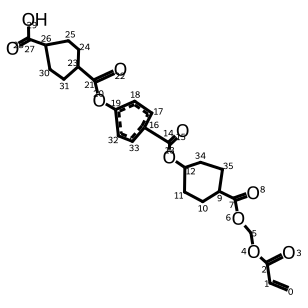 C=CC(=O)OCOC(=O)C1CCC(OC(=O)c2ccc(OC(=O)C3CCC(C(=O)O)CC3)cc2)CC1